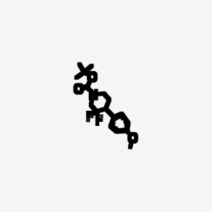 COc1ccc(C2CCN(C(=O)OC(C)(C)C)CC2(F)F)cc1